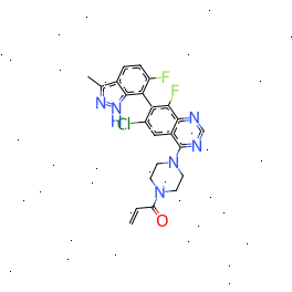 C=CC(=O)N1CCN(c2ncnc3c(F)c(-c4c(F)ccc5c(C)n[nH]c45)c(Cl)cc23)CC1